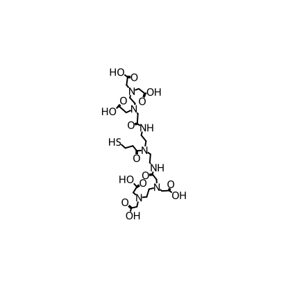 O=C(O)CN(CCN(CC(=O)O)CC(=O)NCCN(CCNC(=O)CN(CCN(CC(=O)O)CC(=O)O)CC(=O)O)C(=O)CCS)CC(=O)O